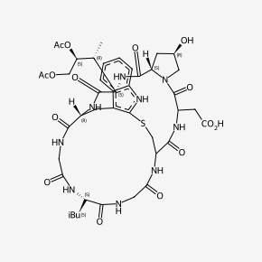 CC[C@H](C)[C@@H]1NC(=O)CNC(=O)[C@H]2Cc3c([nH]c4ccccc34)SCC(NC(=O)CNC1=O)C(=O)NC(CC(=O)O)C(=O)N1C[C@H](O)C[C@H]1C(=O)N[C@@H]([C@@H](C)[C@@H](COC(C)=O)OC(C)=O)C(=O)N2